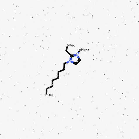 CCCCCCCCCCCCCCCCC[n+]1ccn(CCCCCCC)c1CCCCCCCCCCC